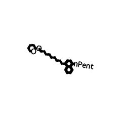 CCCCCc1ccc(CCCCCCCCCOC2CCCCO2)c2ccccc12